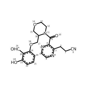 N#CCCc1nccnc1C(=O)N1CCOCC1COc1cccc(O)c1C=O